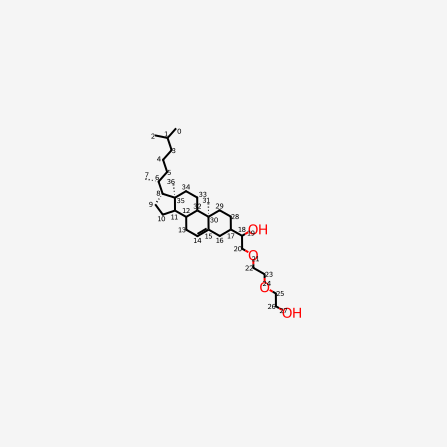 CC(C)CCC[C@@H](C)[C@H]1CCC2C3CC=C4CC(C(O)COCCOCCO)CC[C@]4(C)C3CC[C@@]21C